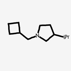 CC(C)C1CCN(CC2CCC2)C1